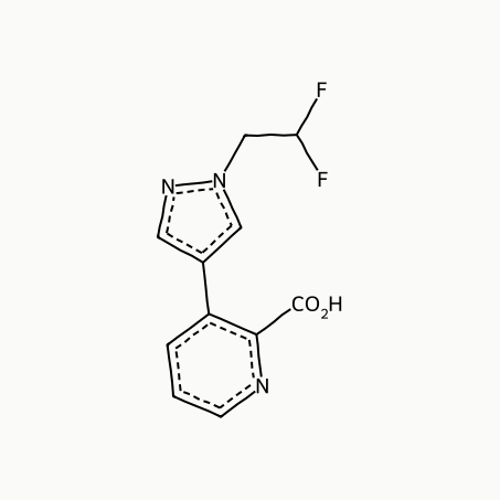 O=C(O)c1ncccc1-c1cnn(CC(F)F)c1